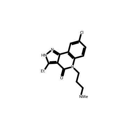 CCc1[nH]nc2c1c(=O)n(CCCNC)c1ccc(Cl)cc21